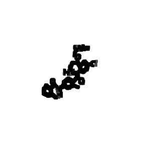 CSCOC1CCNN(C(=O)c2ccc(NC(=O)c3ccccc3C)cc2C)c2ccc(Cl)cc21